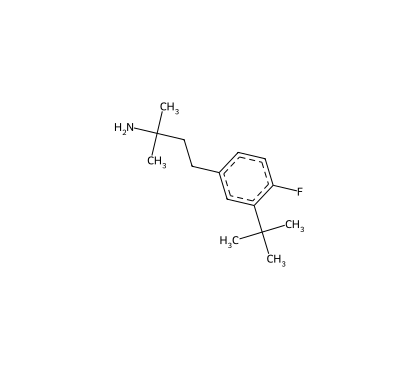 CC(C)(N)CCc1ccc(F)c(C(C)(C)C)c1